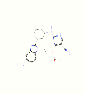 COc1nc(N[C@@H]2CCC[C@H](c3nc4cc(N)ccc4n3CCOC(C)=O)C2)ncc1C#N